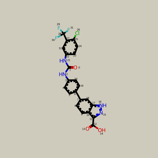 O=C(Nc1ccc(-c2ccc3c(C(=O)O)n[nH]c3c2)cc1)Nc1ccc(Cl)c(C(F)(F)F)c1